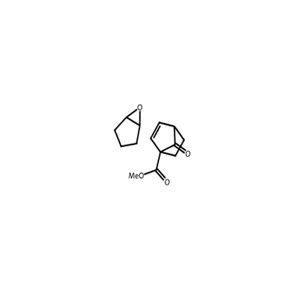 C1CC2OC2C1.COC(=O)C12C=CC(CC1)C2=O